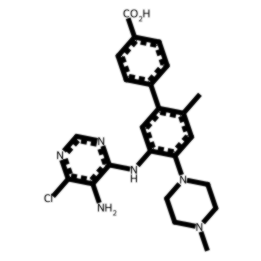 Cc1cc(N2CCN(C)CC2)c(Nc2ncnc(Cl)c2N)cc1-c1ccc(C(=O)O)cc1